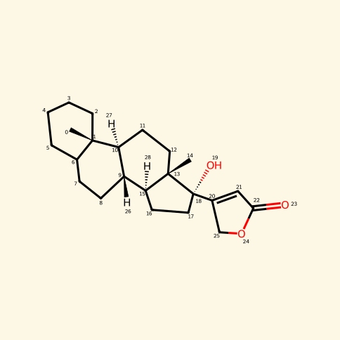 C[C@]12CCCCC1CC[C@@H]1[C@@H]2CC[C@@]2(C)[C@H]1CC[C@]2(O)C1=CC(=O)OC1